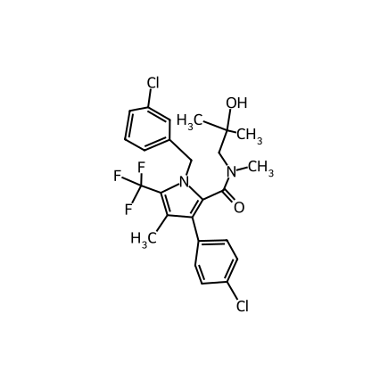 Cc1c(-c2ccc(Cl)cc2)c(C(=O)N(C)CC(C)(C)O)n(Cc2cccc(Cl)c2)c1C(F)(F)F